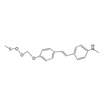 CNc1ccc(/C=C/c2ccc(OCOOSC)cc2)cc1